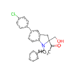 O=C(O)C(=O)C1(CO)Cc2cc(-c3ccc(Cl)cc3)ccc2N1Cc1ccccc1